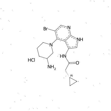 Cl.NC1CCCN(c2c(Br)cnc3[nH]cc(NC(=O)C[C@@H]4[CH]C4)c23)C1